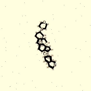 C[C@]12CC=C3C=C4CC[C@@H](N5CCOCC5)C[C@]45CC[C@]3(O5)[C@@H]1CC[C@@H]2c1ccc2ccncc2c1